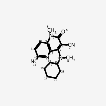 CN(c1c(C#N)c(=O)n(C)c2ccc(C#N)nc12)C1CCCCC1